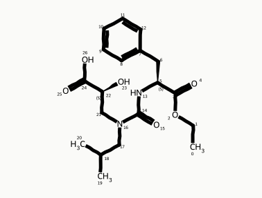 CCOC(=O)[C@H](Cc1ccccc1)NC(=O)N(CC(C)C)C[C@H](O)C(=O)O